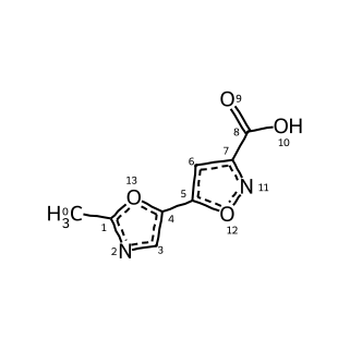 Cc1ncc(-c2cc(C(=O)O)no2)o1